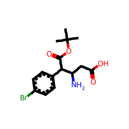 CC(C)(C)OC(=O)C(c1ccc(Br)cc1)C(N)CC(=O)O